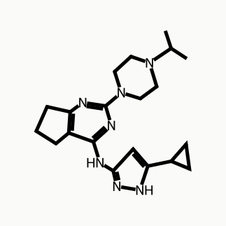 CC(C)N1CCN(c2nc3c(c(Nc4cc(C5CC5)[nH]n4)n2)CCC3)CC1